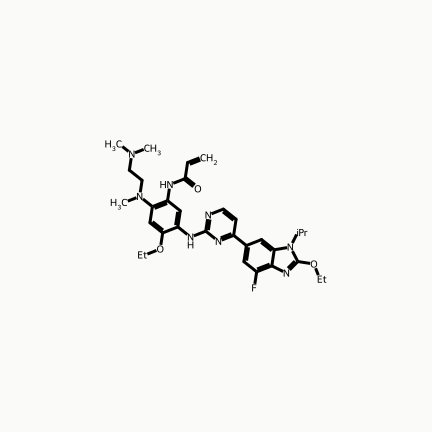 C=CC(=O)Nc1cc(Nc2nccc(-c3cc(F)c4nc(OCC)n(C(C)C)c4c3)n2)c(OCC)cc1N(C)CCN(C)C